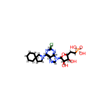 O=P(O)(O)CCC1OC(n2cnc3c(N4CCC5(CCCCC5)C4)nc(Cl)nc32)C(O)C1O